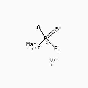 O=P([O-])([O-])F.[Na+].[V+5]